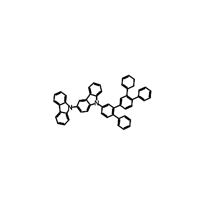 C1=CCCC(c2cc(-c3cc(-n4c5ccccc5c5cc(-n6c7ccccc7c7ccccc76)ccc54)ccc3-c3ccccc3)ccc2-c2ccccc2)=C1